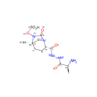 C[C@H](N)C(=O)NNC(=O)[C@@H]1CC[C@@H]2CN1C(=O)N2OS(=O)(=O)O